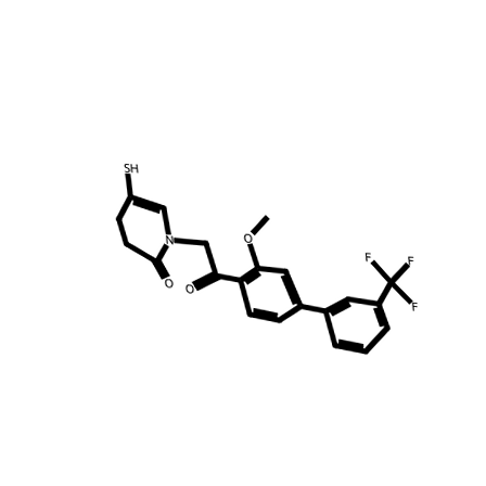 COc1cc(-c2cccc(C(F)(F)F)c2)ccc1C(=O)CN1C=C(S)CCC1=O